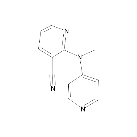 CN(c1ccncc1)c1ncccc1C#N